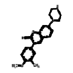 COc1ccc(-c2cc3ccc(N4CCNCC4)cc3oc2=O)cc1C